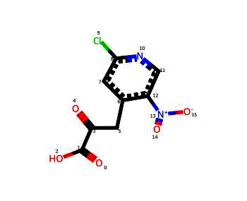 O=C(O)C(=O)Cc1cc(Cl)ncc1[N+](=O)[O-]